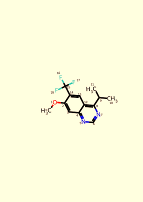 COc1cc2ncnc(C(C)C)c2cc1C(F)(F)F